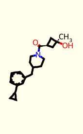 C[C@]1(O)C[C@@H](C(=O)N2CCC(Cc3cccc(C4CC4)c3)CC2)C1